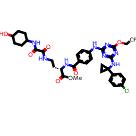 COC(=O)[C@H](CCNC(=O)C(=O)NC1CCC(O)CC1)NC(=O)c1ccc(Nc2nc(NC3(c4ccc(Cl)cc4)CC3)nc(OCC(F)(F)F)n2)cc1